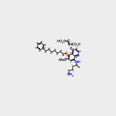 COc1cc(NC(C)CCCN)c2nccc(C)c2c1OCCCCCCCc1ccccc1.O=C(O)/C=C/C(=O)O